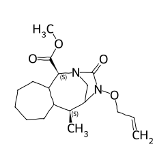 C=CCON1C(=O)N2CC1[C@@H](C)C1CCCCCC1[C@H]2C(=O)OC